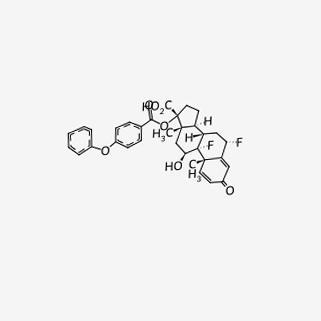 C[C@]12C=CC(=O)C=C1[C@@H](F)C[C@H]1[C@@H]3CC[C@](OC(=O)c4ccc(Oc5ccccc5)cc4)(C(=O)O)[C@@]3(C)C[C@H](O)[C@@]12F